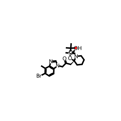 Cc1c(Br)ccc2c1ncn2CC(=O)C[C@]1(O[Si](C)(C)C(C)(C)C)CCCCN1C(=O)O